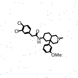 COc1cccc(C23CCN(C)CC2CCC(NC(=O)Cc2ccc(Cl)c(Cl)c2)C3)c1